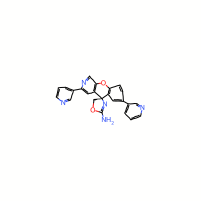 NC1=N[C@@]2(CO1)c1cc(-c3cccnc3)ccc1Oc1cnc(-c3cccnc3)cc12